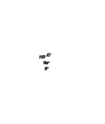 [Cl-].[K+].[Na+].[OH-]